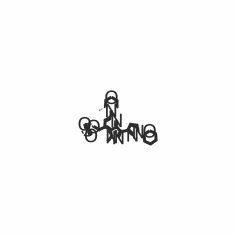 C[C@@H]1COCCN1c1cc(COS(C)(=O)=O)c2c(n1)c(-c1ccn(C3CCCCO3)n1)nn2C